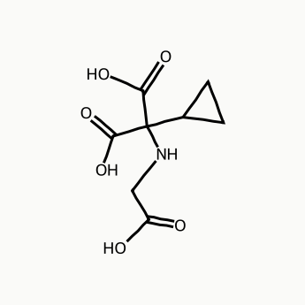 O=C(O)CNC(C(=O)O)(C(=O)O)C1CC1